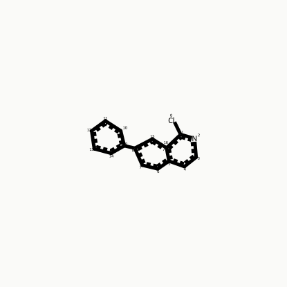 Clc1nccc2ccc(-c3ccccc3)cc12